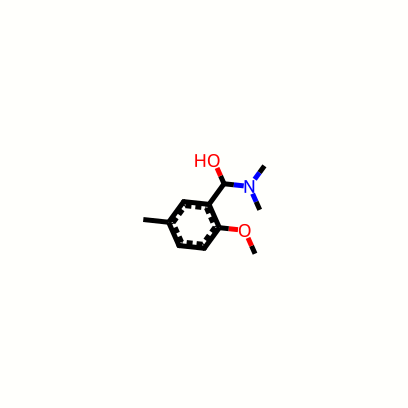 COc1ccc(C)cc1C(O)N(C)C